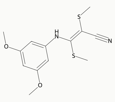 COc1cc(NC(SC)=C(C#N)SC)cc(OC)c1